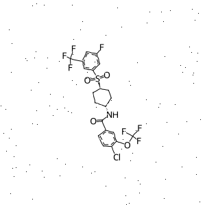 O=C(N[C@H]1CC[C@H](S(=O)(=O)c2cc(F)cc(C(F)(F)F)c2)CC1)c1ccc(Cl)c(OC(F)(F)F)c1